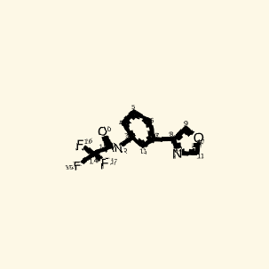 O=C(Nc1cccc(-c2cocn2)c1)C(F)(F)F